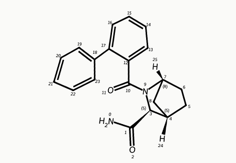 NC(=O)[C@@H]1[C@H]2CC[C@H](C2)N1C(=O)c1ccccc1-c1ccccc1